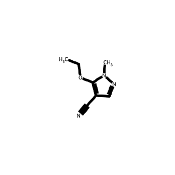 CCOc1c(C#N)[c]nn1C